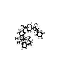 CC(C)(C(=O)N1CCN(C(=O)c2ccc(NS(=O)(=O)c3cccc4cccnc34)c(OC(F)(F)F)c2)CC1)c1ccccc1